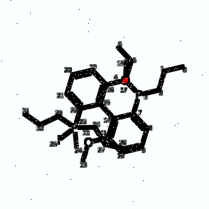 CCCP(CCC)c1cccc(OC)c1-c1c(OC)cccc1P(C)(I)(CCC)CCC